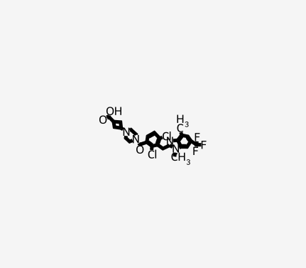 Cc1cc(C(F)(F)F)cc2c1nc(Cc1c(Cl)ccc(C(=O)N3CCN(C4CC(C(=O)O)C4)CC3)c1Cl)n2C